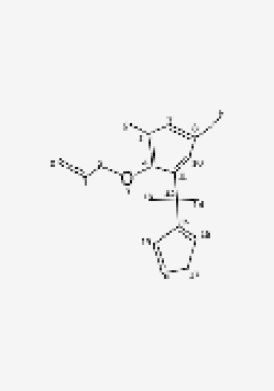 C=CCOc1c(C)cc(C)cc1C(C)(C)C1=CCC=C1